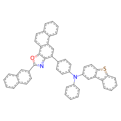 c1ccc(N(c2ccc(-c3cc4c5ccccc5ccc4c4oc(-c5ccc6ccccc6c5)nc34)cc2)c2ccc3sc4ccccc4c3c2)cc1